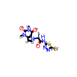 C[C@@H](C(=O)Nc1nnc(Br)s1)n1ccc2c1c(=O)n(C)c(=O)n2C